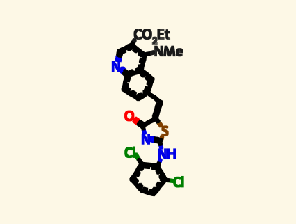 CCOC(=O)c1cnc2ccc(C=C3SC(Nc4c(Cl)cccc4Cl)=NC3=O)cc2c1NC